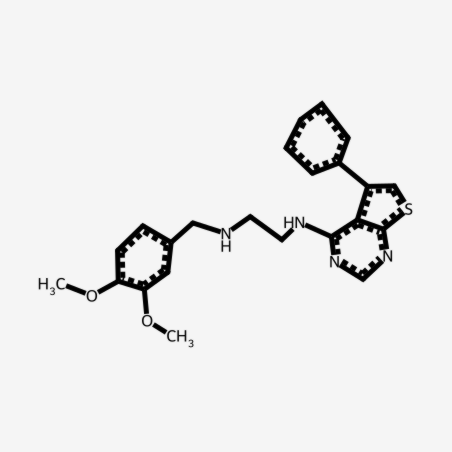 COc1ccc(CNCCNc2ncnc3scc(-c4ccccc4)c23)cc1OC